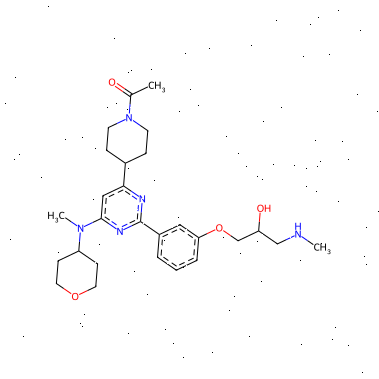 CNCC(O)COc1cccc(-c2nc(C3CCN(C(C)=O)CC3)cc(N(C)C3CCOCC3)n2)c1